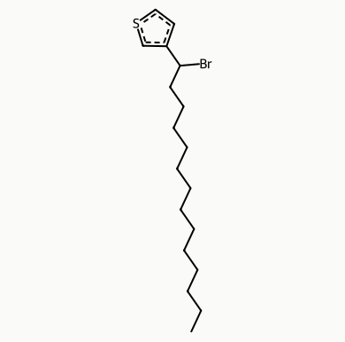 CCCCCCCCCCCCCC(Br)c1ccsc1